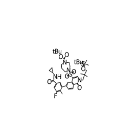 Cc1c(F)cc(C(=O)NC2CC2)cc1-c1ccc2c(=O)n(CC(C)(C)CO[Si](C)(C)C(C)(C)C)cc(S(=O)(=O)N3CCCN(C(=O)OC(C)(C)C)CC3)c2c1